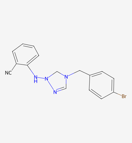 N#Cc1ccccc1NN1CN(Cc2ccc(Br)cc2)C=N1